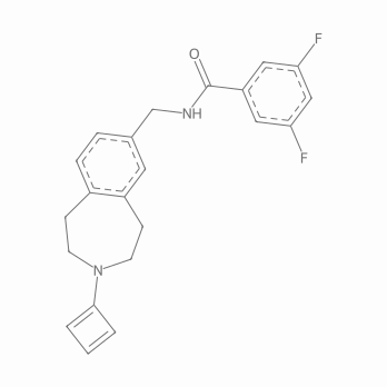 O=C(NCc1ccc2c(c1)CCN(C1=CC=C1)CC2)c1cc(F)cc(F)c1